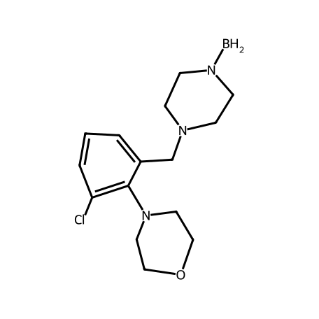 BN1CCN(Cc2cccc(Cl)c2N2CCOCC2)CC1